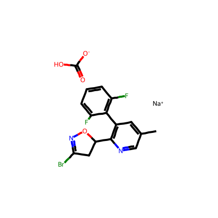 Cc1cnc(C2CC(Br)=NO2)c(-c2c(F)cccc2F)c1.O=C([O-])O.[Na+]